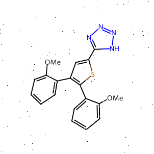 COc1ccccc1-c1cc(-c2nnn[nH]2)sc1-c1ccccc1OC